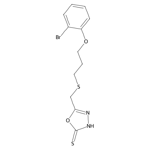 S=c1[nH]nc(CSCCCOc2ccccc2Br)o1